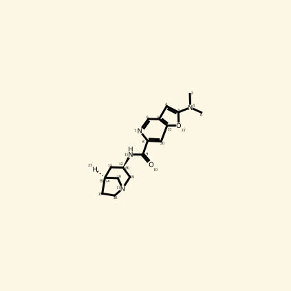 CN(C)c1cc2cnc(C(=O)N[C@@H]3C[C@@H]4CCN(C4)C3)cc2o1